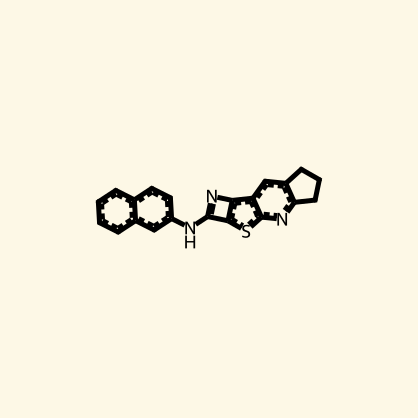 c1ccc2cc(NC3=Nc4c3sc3nc5c(cc43)CCC5)ccc2c1